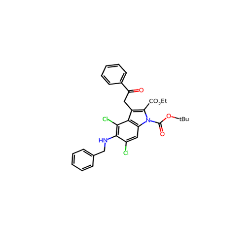 CCOC(=O)c1c(CC(=O)c2ccccc2)c2c(Cl)c(NCc3ccccc3)c(Cl)cc2n1C(=O)OC(C)(C)C